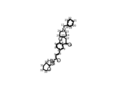 O=C(/C=C/c1ccc2c(c1)C(=O)CC1(CCN(Cc3ccccc3)CC1)O2)NOC1CCCCO1